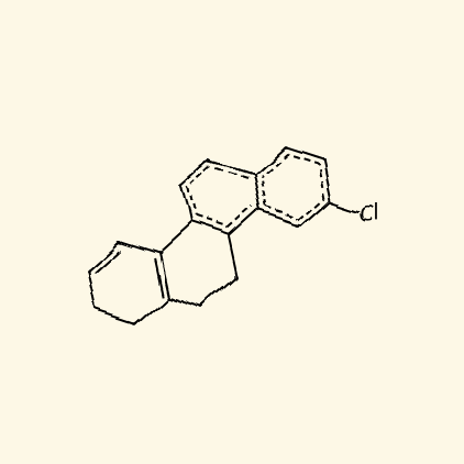 Clc1ccc2ccc3c(c2c1)CCC1=C3C=CCC1